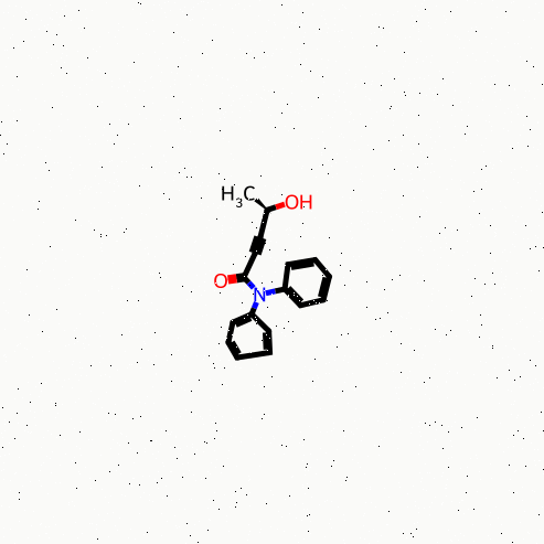 C[C@@H](O)C#CC(=O)N(c1ccccc1)c1ccccc1